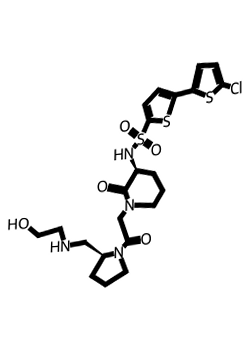 O=C1[C@@H](NS(=O)(=O)c2ccc(-c3ccc(Cl)s3)s2)CCCN1CC(=O)N1CCC[C@H]1CNCCO